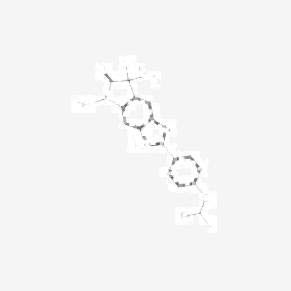 CCCN1C(=O)C(C)(C)c2cc3nc(-c4ccc(OC(F)F)cc4)[nH]c3cc21